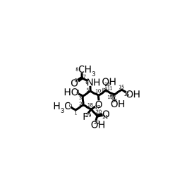 CCC1C(O)C(NC(C)=O)C([C@H](O)[C@H](O)CO)OC1(F)C(=O)O